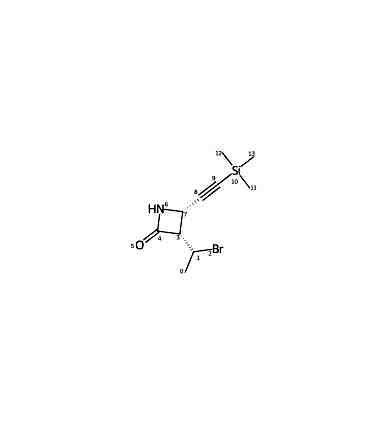 CC(Br)[C@@H]1C(=O)N[C@@H]1C#C[Si](C)(C)C